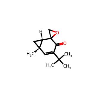 CC(C)(C)C1=C[C@]2(C)C[C@@H]2[C@@]2(CO2)C1=O